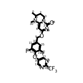 CC1CCn2c(cc(OCc3cc(F)c(Oc4cnc(C(F)(F)F)nc4)c(F)c3)nc2=O)N1C